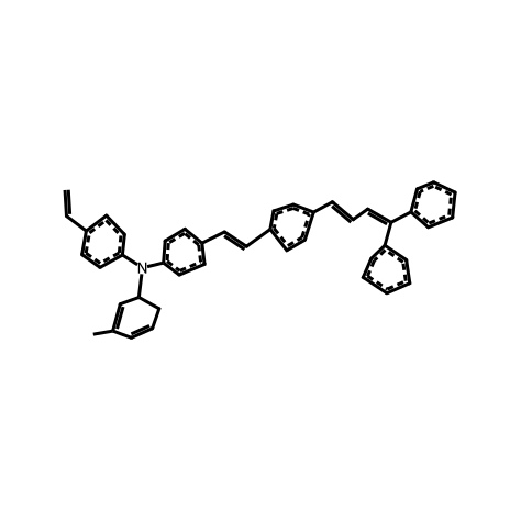 C=Cc1ccc(N(c2ccc(C=Cc3ccc(C=CC=C(c4ccccc4)c4ccccc4)cc3)cc2)C2C=C(C)C=CC2)cc1